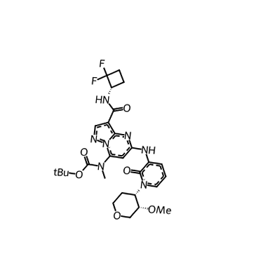 CO[C@@H]1COCC[C@@H]1n1cccc(Nc2cc(N(C)C(=O)OC(C)(C)C)n3ncc(C(=O)N[C@H]4CCC4(F)F)c3n2)c1=O